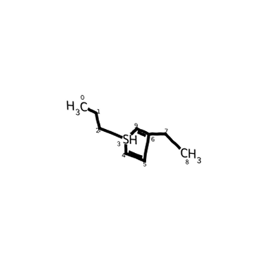 CC[CH][SH]1C=CC(CC)=C1